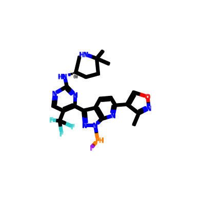 Cc1nocc1-c1ccc2c(-c3nc(N[C@H]4CCC(C)(C)NC4)ncc3C(F)(F)F)nn(PI)c2n1